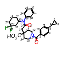 O=C(c1ccc(C2CC2)cc1)N1CCC(CC(=O)N(c2ccccc2)C2CCCC(F)(F)C2)(C(=O)O)CC1